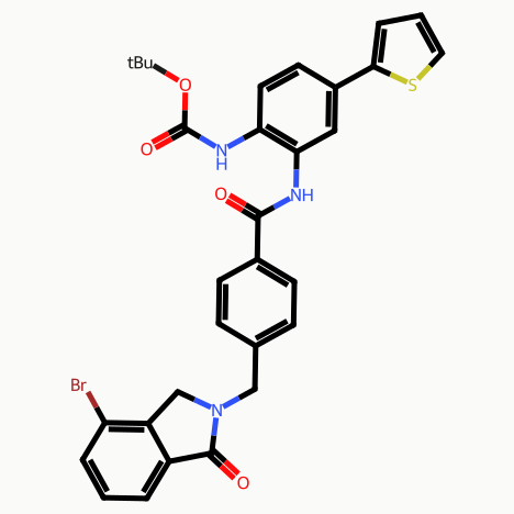 CC(C)(C)OC(=O)Nc1ccc(-c2cccs2)cc1NC(=O)c1ccc(CN2Cc3c(Br)cccc3C2=O)cc1